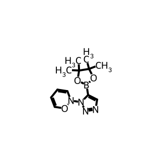 CC1(C)OB(c2cnnn2N2C=CC=CO2)OC1(C)C